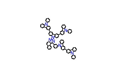 c1ccc(-n2c3ccccc3c3cc(-c4ccc5c(c4)c4ccccc4n5-c4cccc(-c5nc(-n6c7ccc(-c8ccc9c(c8)c8ccccc8n9-c8ccccc8)cc7c7cc(-c8ccc9c(c8)c8ccccc8n9-c8ccccc8)ccc76)nc6ccc7ccccc7c56)c4)ccc32)cc1